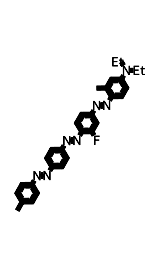 CCN(CC)c1ccc(N=Nc2ccc(N=Nc3ccc(N=Nc4ccc(C)cc4)cc3)c(F)c2)c(C)c1